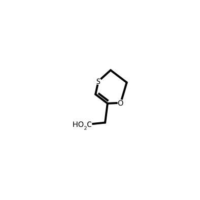 O=C(O)CC1=CSCCO1